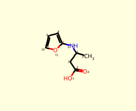 CC(CC(=O)O)Nc1ccco1